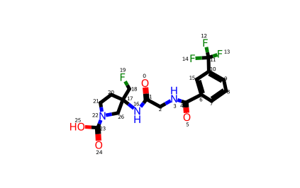 O=C(CNC(=O)c1cccc(C(F)(F)F)c1)NC1(CF)CCN(C(=O)O)C1